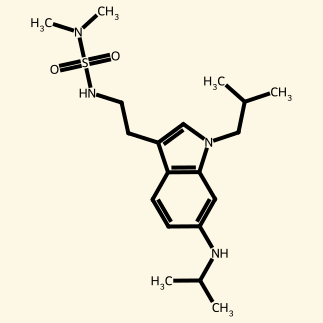 CC(C)Cn1cc(CCNS(=O)(=O)N(C)C)c2ccc(NC(C)C)cc21